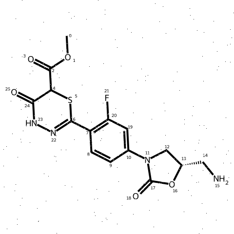 COC(=O)C1SC(c2ccc(N3C[C@H](CN)OC3=O)cc2F)=NNC1=O